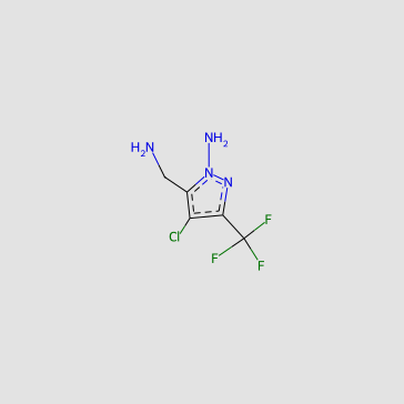 NCc1c(Cl)c(C(F)(F)F)nn1N